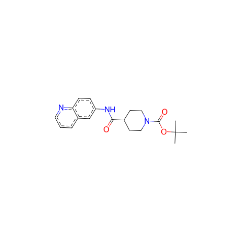 CC(C)(C)OC(=O)N1CCC(C(=O)Nc2ccc3ncccc3c2)CC1